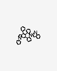 c1ccc(-c2c3c(cc4c2ccn4-c2ccccc2)-c2ccccc2N(c2cnc4ccccc4c2)c2ccccc2-3)cc1